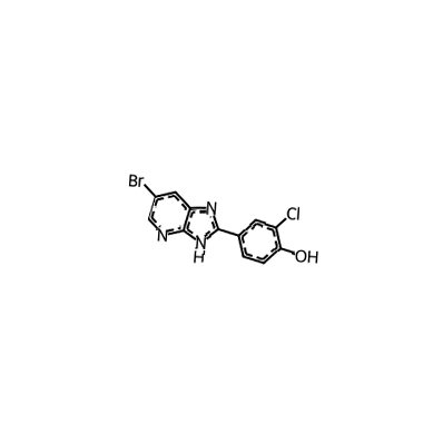 Oc1ccc(-c2nc3cc(Br)cnc3[nH]2)cc1Cl